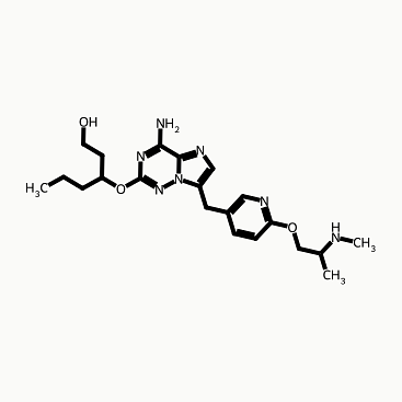 CCCC(CCO)Oc1nc(N)c2ncc(Cc3ccc(OCC(C)NC)nc3)n2n1